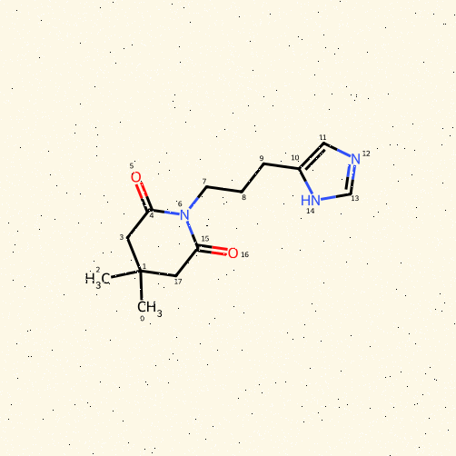 CC1(C)CC(=O)N(CCCc2cnc[nH]2)C(=O)C1